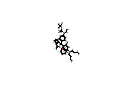 CCCCN(CCCC)c1ccc2c(c1)Oc1cc(N(CC)C(=O)OC(C)(C)C)ccc1C21c2ccccc2C(=O)N1c1ccccc1